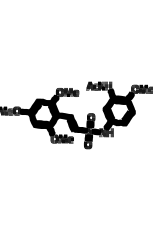 COc1cc(OC)c(C=CS(=O)(=O)Nc2ccc(OC)c(NC(C)=O)c2)c(OC)c1